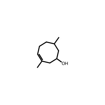 C/C1=C/CCC(C)CC(O)C1